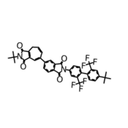 CC(C)(C)c1ccc(-c2ccc(N3C(=O)c4ccc(C5=CC6=C(CC=C5)C(=O)N(C(C)(C)C)C6=O)cc4C3=O)cc2C(F)(F)F)c(C(F)(F)F)c1